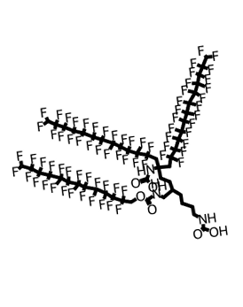 O=C(O)NCCCCC(CCC(CC(F)(F)C(F)(F)C(F)(F)C(F)(F)C(F)(F)C(F)(F)C(F)(F)C(F)(F)C(F)(F)C(F)(F)C(F)(F)C(F)F)(CC(F)(F)C(F)(F)C(F)(F)C(F)(F)C(F)(F)C(F)(F)C(F)(F)C(F)(F)C(F)(F)C(F)(F)C(F)(F)C(F)F)NC(=O)O)CNC(=O)OCC(F)(F)C(F)(F)C(F)(F)C(F)(F)C(F)(F)C(F)(F)C(F)(F)C(F)(F)C(F)(F)C(F)(F)C(F)(F)C(F)F